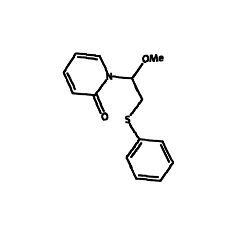 COC(CSc1ccccc1)n1ccccc1=O